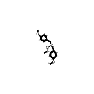 COc1ccc(CN(Cc2ccc(OC)cc2)OSC)cc1